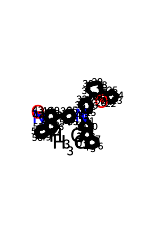 CC1(C)c2ccccc2-c2ccc(N(c3ccc(C4=c5oc6ccccc6c5=CC=CC4)cc3)c3ccc(-c4ccc(N=O)c5c4ccc4ccccc45)cc3)cc21